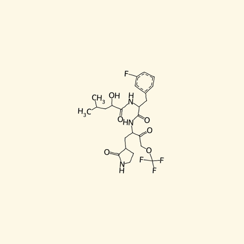 CC(C)CC(O)C(=O)NC(Cc1cccc(F)c1)C(=O)NC(CC1CCNC1=O)C(=O)COC(F)(F)F